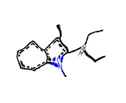 CC[SiH](CC)c1c(C)c2ccccc2n1C